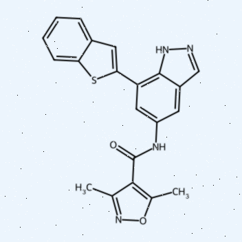 Cc1noc(C)c1C(=O)Nc1cc(-c2cc3ccccc3s2)c2[nH]ncc2c1